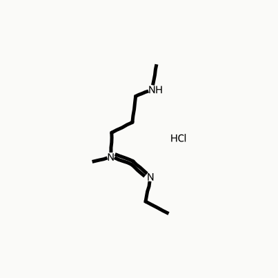 CCN=C=[N+](C)CCCNC.Cl